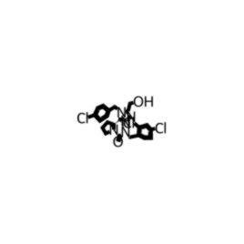 O=C(NCc1ccc(Cl)cc1Cl)N1CCC[C@@H]1c1nnc(CO)n1Cc1ccc(Cl)cc1